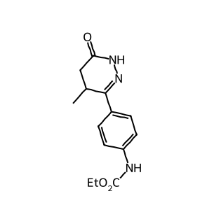 CCOC(=O)Nc1ccc(C2=NNC(=O)CC2C)cc1